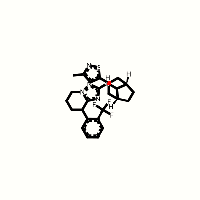 Cc1cc(N2C[C@H]3CC[C@@H](C2)C3Nc2nc3n(n2)CCCC3c2ccccc2C(F)(F)F)sn1